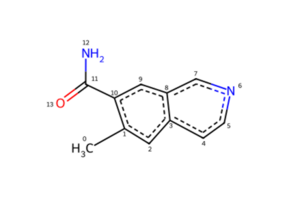 Cc1cc2ccncc2cc1C(N)=O